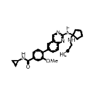 C#CCNC1(Nc2ncc3cc(-c4ccc(C(=O)NC5CC5)cc4OC)ccc3n2)CCCC1